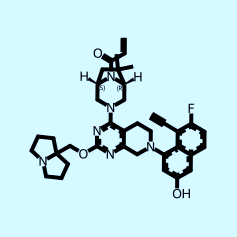 C#Cc1c(F)ccc2cc(O)cc(N3CCc4c(nc(OCC56CCCN5CCC6)nc4N4C[C@@H]5CC(C)(C)[C@H](C4)N5C(=O)C=C)C3)c12